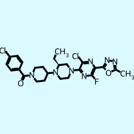 CC[C@H]1CN(c2nc(F)c(-c3nnc(C)o3)nc2Cl)CCN1C1CCN(C(=O)c2ccc(Cl)cc2)CC1